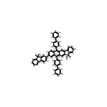 CC1(C)c2ccccc2-c2ccc(-c3ccc4c(-c5ccc(-c6ccccc6)cc5)c5cc6c(cc5c(-c5ccc(-c7ccccc7)cc5)c4c3)[Si](C)(C)c3ccccc3-6)cc21